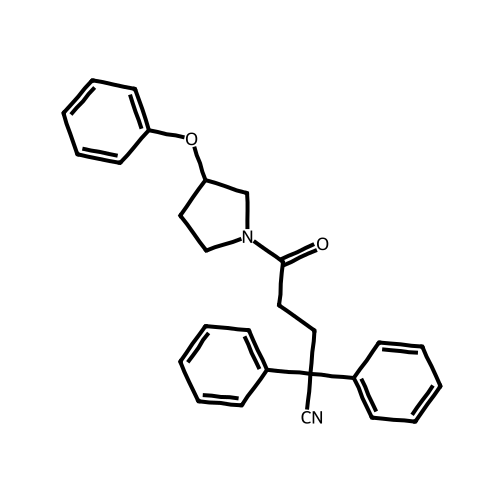 N#CC(CCC(=O)N1CCC(Oc2ccccc2)C1)(c1ccccc1)c1ccccc1